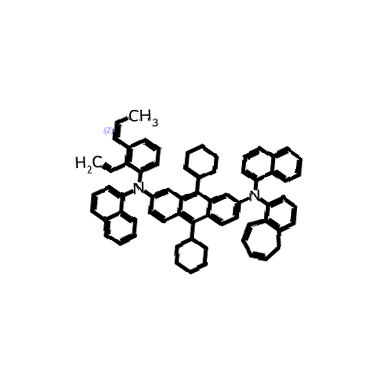 C=Cc1c(/C=C\C)cccc1N(c1ccc2c(C3CCCCC3)c3ccc(N(c4cccc5c4C=CC=CC5)c4cccc5ccccc45)cc3c(C3CCCCC3)c2c1)c1cccc2ccccc12